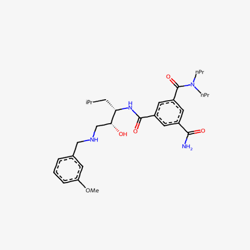 CCCN(CCC)C(=O)c1cc(C(N)=O)cc(C(=O)N[C@@H](CC(C)C)[C@H](O)CNCc2cccc(OC)c2)c1